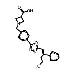 CCC/C(=C\c1nnc(-c2ccc(CN3CC(C(=O)O)C3)cc2)o1)c1ccccc1